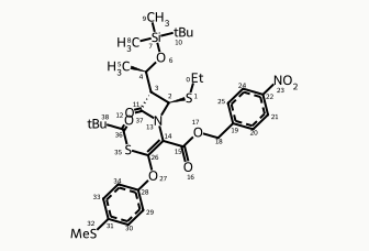 CCS[C@@H]1[C@@H]([C@@H](C)O[Si](C)(C)C(C)(C)C)C(=O)N1C(C(=O)OCc1ccc([N+](=O)[O-])cc1)=C(Oc1ccc(SC)cc1)SC(=O)C(C)(C)C